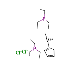 CCP(CC)CC.CCP(CC)CC.[CH3][V+2][C]1=CC=CC1.[Cl-].[Cl-]